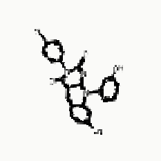 N#Cc1ccc2cc3c(=O)n(-c4ccc(Cl)cc4)c(=O)nc-3n(-c3cccc(O)c3)c2c1